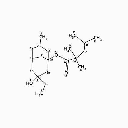 CCC1(O)CC2CC(C)CC(OC(=O)C(C)(C)CC(C)C)(C2)C1